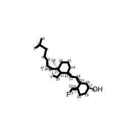 CC(C)CCC[C@@H](C)[C@H]1CCC2C(=C/C=C3/C[C@@H](O)CC/C3=C\F)CCC[C@@]21C